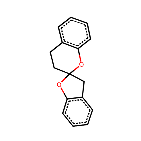 c1ccc2c(c1)CCC1(Cc3ccccc3O1)O2